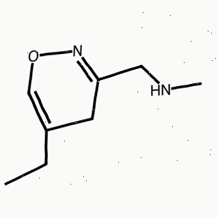 CCC1=CON=C(CNC)C1